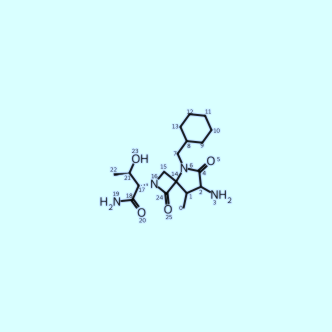 CC1C(N)C(=O)N(CC2CCCCC2)C12CN([C@H](C(N)=O)[C@@H](C)O)C2=O